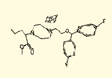 CCCC(C(=O)OC)N1CCN(CCOC(c2ccc(F)cc2)c2ccc(F)cc2)CC1.Cl.Cl